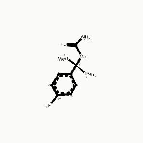 CCCCC[C@@](OC)(OC(N)=O)c1ccc(F)cc1